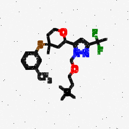 CC1(Sc2cccc(C(F)(F)F)c2)CCOC(c2cc(C(C)(F)F)nn2COCC[Si](C)(C)C)C1